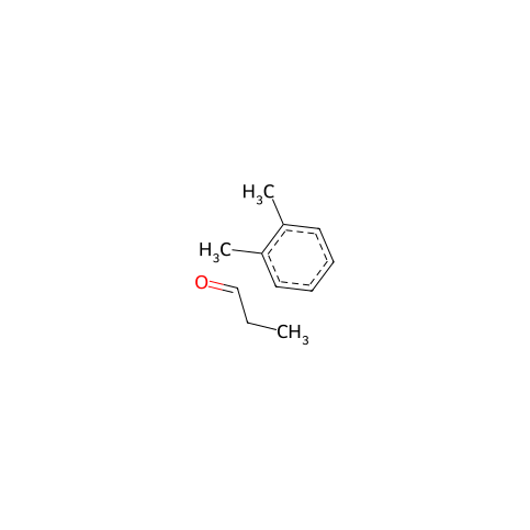 CCC=O.Cc1ccccc1C